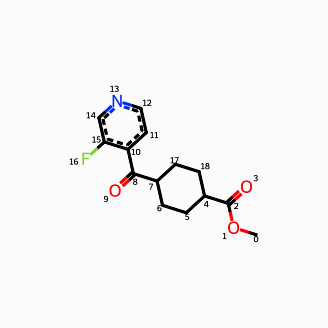 COC(=O)C1CCC(C(=O)c2ccncc2F)CC1